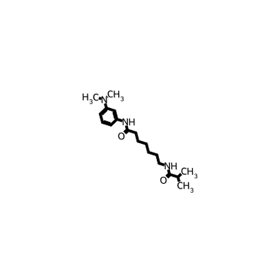 CC(C)C(=O)NCCCCCCC(=O)Nc1cccc(N(C)C)c1